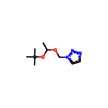 CC(OCn1ccnn1)O[Si](C)(C)C